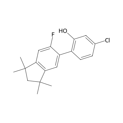 CC1(C)CC(C)(C)c2cc(-c3ccc(Cl)cc3O)c(F)cc21